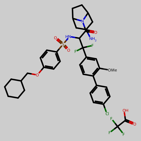 COc1cc(C(F)(F)C(NS(=O)(=O)c2ccc(OCC3CCCCC3)cc2)C(=O)N2C3CCC2CC(N)C3)ccc1-c1ccc(Cl)cc1.O=C(O)C(F)(F)F